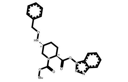 CC(C)(C)OC(=O)N1C[C@H](NOCc2ccccc2)CC[C@H]1C(=O)On1nnc2ccccc21